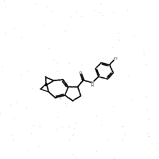 O=C(Nc1ccc(Cl)cc1)C1CCC(=C/C2CC2)/C1=C\C1CC1